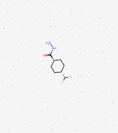 NNC(=O)[C@H]1CC[C@H](C(F)F)CC1